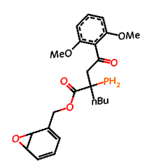 CCCCC(P)(CC(=O)c1c(OC)cccc1OC)C(=O)OCC1=CC=CC2OC12